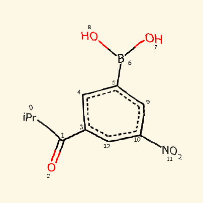 CC(C)C(=O)c1cc(B(O)O)cc([N+](=O)[O-])c1